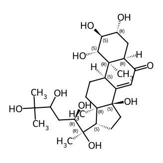 CC(C)(O)C(O)C[C@@H](O)[C@](C)(O)[C@H]1CC[C@@]2(O)C3=CC(=O)[C@@H]4C[C@@H](O)[C@H](O)[C@@H](O)[C@]4(C)[C@@H]3CC[C@]12C